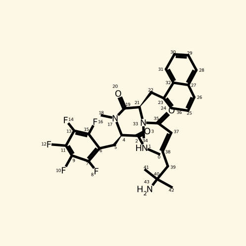 CNC(=O)[C@@H](Cc1c(F)c(F)c(F)c(F)c1F)N(C)C(=O)[C@@H](Cc1cccc2ccccc12)N(C)C(=O)/C=C/CC(C)(C)N